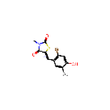 CC(=O)c1cc(/C=C2\SC(=O)N(C)C2=O)c(Br)cc1O